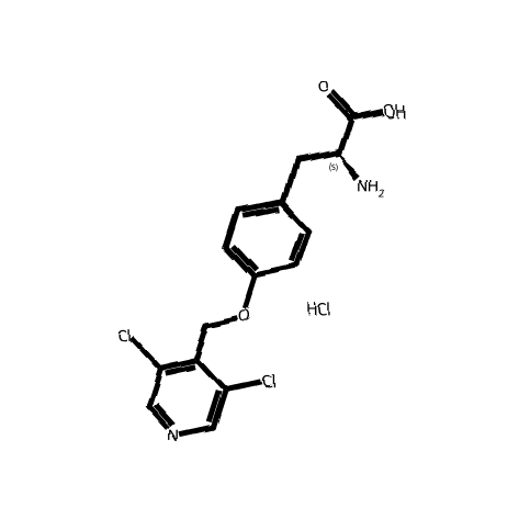 Cl.N[C@@H](Cc1ccc(OCc2c(Cl)cncc2Cl)cc1)C(=O)O